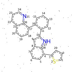 c1csc(-c2cccc3cc(-c4ccccc4-c4cccc5cccnc45)[nH]c23)c1